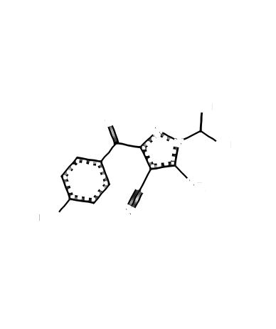 Cc1ccc(C(=O)c2nn(C(C)C)c(N)c2C#N)cc1